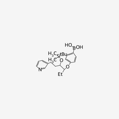 CCC(Oc1ccc(B(O)O)cc1)C(CCc1cccnc1)O[Si](C)(C)C(C)(C)C